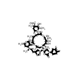 CC[C@H]1OC(=O)[C@H](C)[C@@H](O[C@H]2C[C@@](C)(OC)[C@@H](O)[C@H](C)O2)[C@H](C)[C@@H](O[C@@H]2O[C@H](C)C[C@H](N(C)CCc3cn(C[C@H]4CN(c5ccc(F)c(F)c5)C(=O)O4)nn3)[C@H]2O)[C@](C)(O)C[C@@H](C)CN(C)[C@H](C)[C@@H](O)[C@]1(C)O